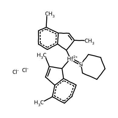 CC1=Cc2c(C)cccc2[CH]1[Hf+2]([CH]1C(C)=Cc2c(C)cccc21)=[Si]1CCCCC1.[Cl-].[Cl-]